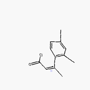 C/C(=C/C(=O)Cl)c1ccc(C)cc1C